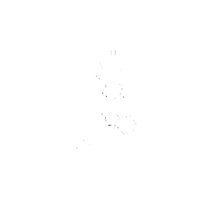 CC1(C)C(=O)Nc2nc(-c3nc(CCC(F)(F)C(F)(F)F)n4cc(F)ccc34)ncc21